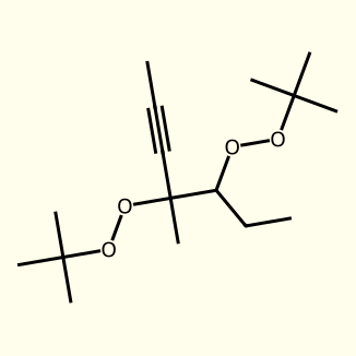 CC#CC(C)(OOC(C)(C)C)C(CC)OOC(C)(C)C